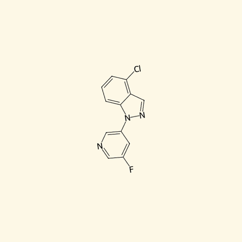 Fc1cncc(-n2ncc3c(Cl)cccc32)c1